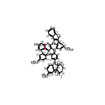 CC1C=C2C3=C(C1)n1c4c(cc(C(C)(C)C)cc4c4oc5ccccc5c41)B3c1ccc(N3c4ccc(C(C)(C)C)cc4C4(C)CCCCC34C)cc1N2c1ccc(C(C)(C)C)cc1-c1ccccc1